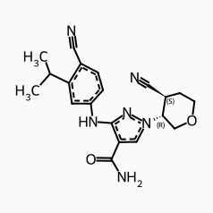 CC(C)c1cc(Nc2nn([C@H]3COCC[C@@H]3C#N)cc2C(N)=O)ccc1C#N